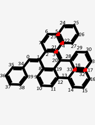 C(=C(c1ccccc1)c1cccc(-c2ccccc2)c1C(=Cc1ccccc1)c1ccccc1)c1ccccc1